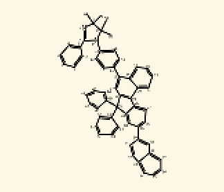 CC1(C)N=C(c2ccccc2)N(c2ccc(-c3cc4c(c5ccccc35)-c3ccc(-c5ccc6ccccc6c5)cc3C4(c3ccccc3)c3ccccc3)cc2)C1(C)C